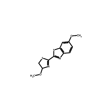 COc1ccc2nc(C3=NC(OC)CS3)sc2c1